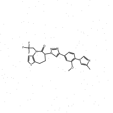 COc1cc(-c2cn(C3CCc4sccc4N(CC(F)(F)F)C3=O)nn2)ccc1-n1cnc(C)c1